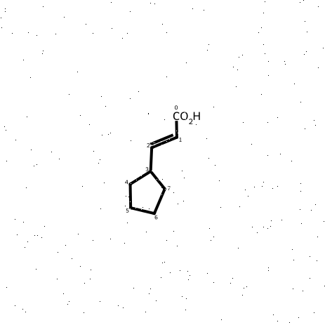 O=C(O)/C=C/C1CCCC1